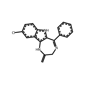 C=C1CN=C(c2ccccc2)c2[nH]c3ccc(Cl)cc3c2N1